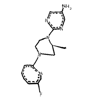 C[C@H]1CN(c2cccc(F)n2)CCN1c1ncc(N)cn1